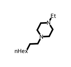 CCCCCCCCN1CCN(CC)CC1